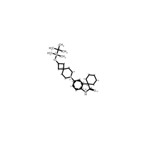 CC(C)(C)[Si](C)(C)OC1CC2(CCN(c3ccc4c(c3)C3(CCCCC3)C(=O)N4)CC2)C1